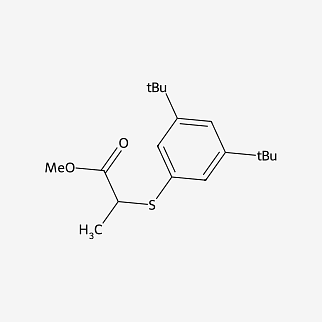 COC(=O)C(C)Sc1cc(C(C)(C)C)cc(C(C)(C)C)c1